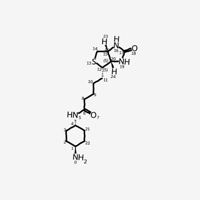 N[C@H]1CC[C@H](NC(=O)CCCC[C@@H]2SC[C@@H]3NC(=O)N[C@@H]32)CC1